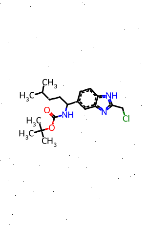 CC(C)CCC(NC(=O)OC(C)(C)C)c1ccc2[nH]c(CCl)nc2c1